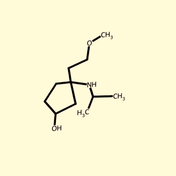 COCCC1(NC(C)C)CCC(O)C1